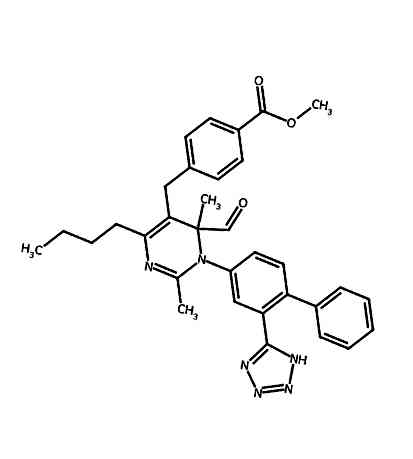 CCCCC1=C(Cc2ccc(C(=O)OC)cc2)C(C)(C=O)N(c2ccc(-c3ccccc3)c(-c3nnn[nH]3)c2)C(C)=N1